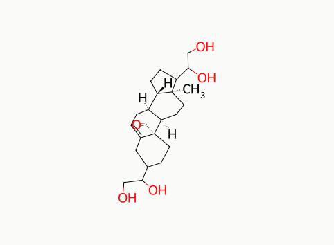 C[C@]12CC[C@@H]3[C@@H](CC=C4CC(C(O)CO)CC[C@@]43C=O)[C@@H]1CCC2C(O)CO